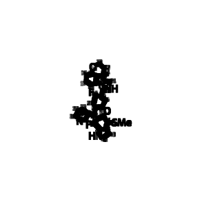 CSc1c(Oc2cc(-c3nc(C4(C)CCOc5ccccc54)c[nH]3)c(F)cc2/C=C2/CN3CCC2CC3)c(F)c(F)c2[nH]ccc12